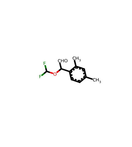 Cc1ccc(C(C=O)OC(F)F)c(C)c1